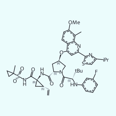 C=C[C@@H]1C[C@]1(NC(=O)[C@@H]1C[C@@H](Oc2cc(-c3nc(C(C)C)cs3)nc3c(C)c(OC)ccc23)CN1C(=O)[C@@H](Nc1cccc(F)c1)C(C)(C)C)C(=O)NS(=O)(=O)C1(C)CC1